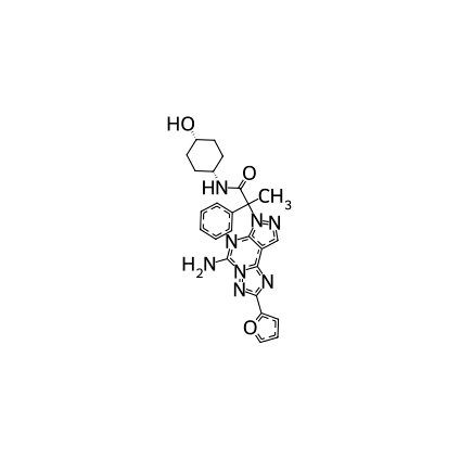 CC(C(=O)N[C@H]1CC[C@@H](O)CC1)(c1ccccc1)n1ncc2c1nc(N)n1nc(-c3ccco3)nc21